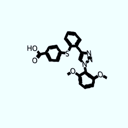 COc1cccc(OC)c1-n1cc(-c2ccccc2Sc2ccc(C(=O)O)cc2)nn1